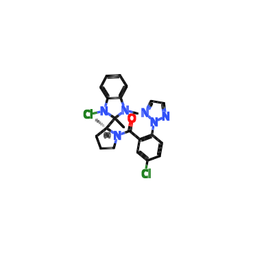 CN1c2ccccc2N(Cl)C1(C)[C@]1(C)CCCN1C(=O)c1cc(Cl)ccc1-n1nccn1